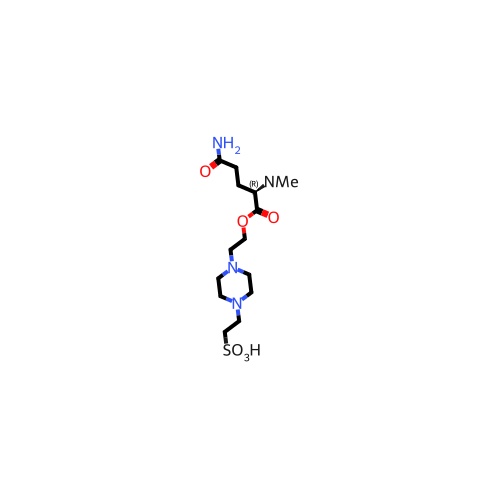 CN[C@H](CCC(N)=O)C(=O)OCCN1CCN(CCS(=O)(=O)O)CC1